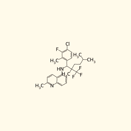 Cc1ccc2c(NC(c3ccc(Cl)c(F)c3C)C(C)(CCC(C)C)C(F)(F)F)cccc2n1